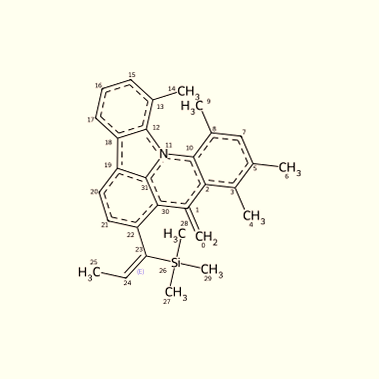 C=c1c2c(C)c(C)cc(C)c2n2c3c(C)cccc3c3ccc(/C(=C\C)[Si](C)(C)C)c1c32